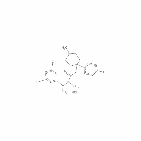 CC(c1cc(Cl)cc(Cl)c1)N(C)C(=O)CC1(c2ccc(F)cc2)CCN(C)CC1.Cl